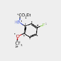 CCOC(=O)Nc1cc(F)ccc1OC(F)(F)F